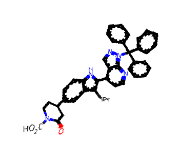 CC(C)c1c(-c2ccnc3c2cnn3C(c2ccccc2)(c2ccccc2)c2ccccc2)[nH]c2ccc(C3CCN(C(=O)O)C(=O)C3)cc12